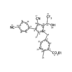 CCOC(=O)c1cc(Cn2c(C)c(-c3ccc(C#N)cc3)c(C#N)c2C(O)C(F)(F)F)cnc1C